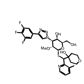 CO[C@@H]1[C@@H](n2cc(-c3cc(F)c(F)c(F)c3)nn2)[C@@H](O)[C@@H](CO)O[C@H]1SC(c1ncccc1C)C1(O)CCOCC1